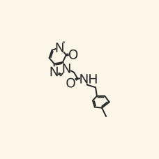 Cc1ccc(CCNC(=O)Cn2cnc3ccn(C)c(=O)c32)cc1